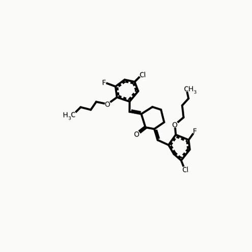 CCCCOc1c(F)cc(Cl)cc1/C=C1\CCC/C(=C\c2cc(Cl)cc(F)c2OCCCC)C1=O